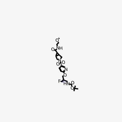 COCCNC(=O)C1C2CN(S(=O)(=O)c3ccc(OC/C(=C\F)CNC(=O)OC(C)(C)C)nc3)CC21